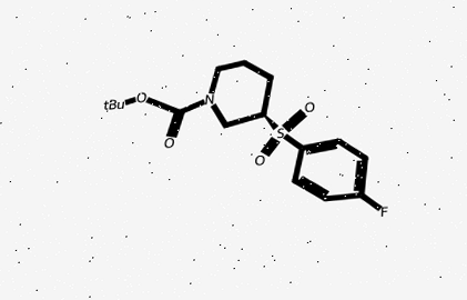 CC(C)(C)OC(=O)N1CCC[C@@H](S(=O)(=O)c2ccc(F)cc2)C1